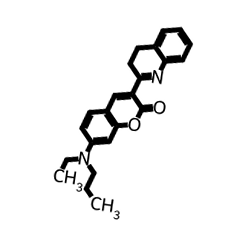 CCCN(CC)c1ccc2cc(C3=Nc4ccccc4CC3)c(=O)oc2c1